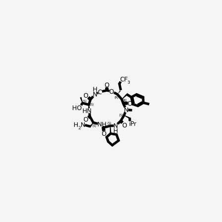 Cc1ccc(C[C@H]2C(=O)N(C)[C@@H](CC(C)C)C(=O)N[C@@H](C3CCCCC3)C(=O)N[C@@H](CN)C(=O)N[C@@H]([C@H](C)O)C(=O)NCC(=O)O[C@@H]2CCC(F)(F)F)cc1